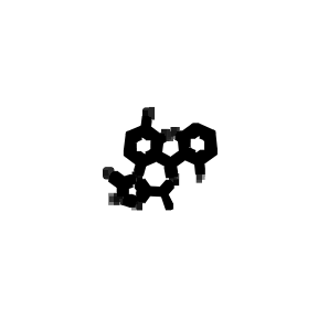 C[C@@H]1N=C(c2c(F)cccc2F)c2c(ccc(Cl)c2Br)-n2c1n[nH]c2=O